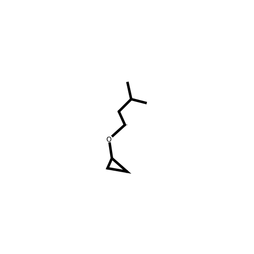 CC(C)C[CH]OC1CC1